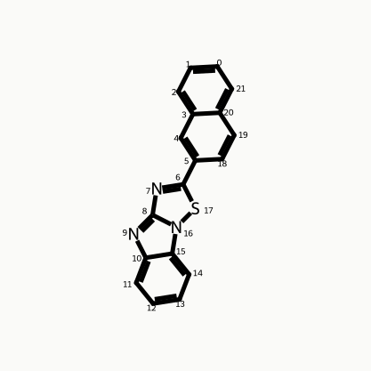 c1ccc2cc(-c3nc4nc5ccccc5n4s3)ccc2c1